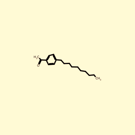 CCCCCCCCCCc1ccc(C(C)=O)cc1